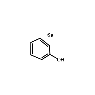 Oc1ccccc1.[Se]